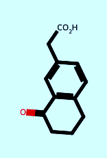 O=C(O)Cc1ccc2c(c1)C(=O)CCC2